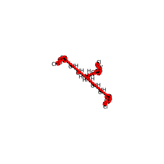 O=C(CCCCCNc1nc(NCCCCCC(=O)NCCCCCNC(=O)CCCCCN2C=CC3=C4c5sc6ccc(Cl)cc6[n+]5CCC4Oc4cccc2c43)nc(NCCNC(=O)CN2C=CC3=C4c5sc6ccc(Cl)cc6[n+]5CCC4Oc4cccc2c43)n1)NCCCCCNC(=O)CCCCCN1C=CC2=C3c4sc5ccc(Cl)cc5[n+]4CCC3Oc3cccc1c32